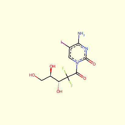 Nc1nc(=O)n(C(=O)C(F)(F)[C@H](O)[C@H](O)CO)cc1I